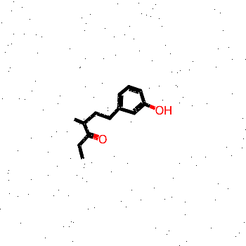 CCC(=O)C(C)CCc1cccc(O)c1